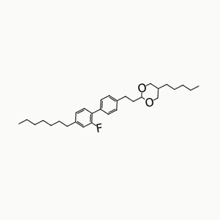 CCCCCCCc1ccc(-c2ccc(CCC3OCC(CCCCC)CO3)cc2)c(F)c1